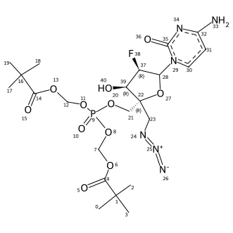 CC(C)(C)C(=O)OCOP(=O)(OCOC(=O)C(C)(C)C)OC[C@@]1(CN=[N+]=[N-])OC(n2ccc(N)nc2=O)[C@H](F)[C@@H]1O